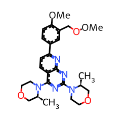 COOCc1cc(-c2ccc3c(N4CCOC[C@@H]4C)nc(N4CCOC[C@@H]4C)nc3n2)ccc1OC